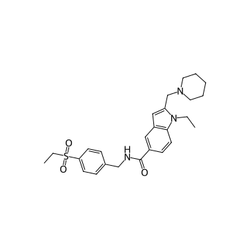 CCn1c(CN2CCCCC2)cc2cc(C(=O)NCc3ccc(S(=O)(=O)CC)cc3)ccc21